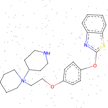 c1ccc2sc(Oc3ccc(OCC[N+]4(C5CCNCC5)CCCCC4)cc3)nc2c1